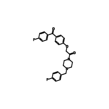 O=C(c1ccc(F)cc1)c1ccc(OCC(=O)N2CCN(Cc3ccc(F)cc3)CC2)cc1